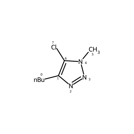 CCCCc1nnn(C)c1Cl